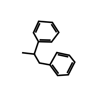 C[C](Cc1ccccc1)c1ccccc1